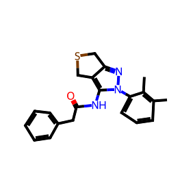 Cc1cccc(-n2nc3c(c2NC(=O)Cc2ccccc2)CSC3)c1C